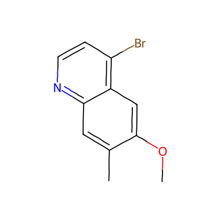 COc1cc2c(Br)ccnc2cc1C